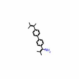 CC(C)=C(C)c1ccc(-c2ccc(C(N)=C(C)C)cc2)cc1